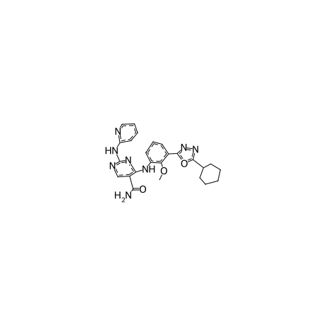 COc1c(Nc2nc(Nc3ccccn3)ncc2C(N)=O)cccc1-c1nnc(C2CCCCC2)o1